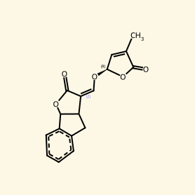 CC1=C[C@H](O/C=C2\C(=O)OC3c4ccccc4CC23)OC1=O